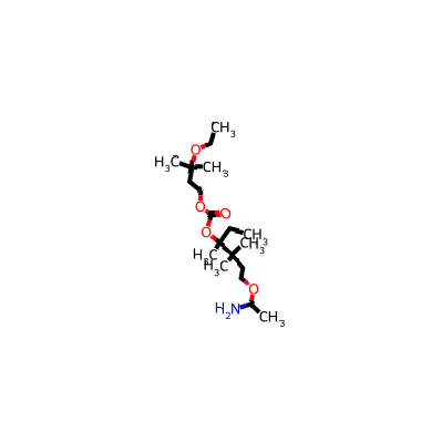 CCOC(C)(C)CCOC(=O)OC(C)(CC)C(C)(C)CCOC(C)N